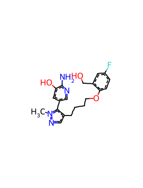 Cn1ncc(CCCCOc2ccc(F)cc2CO)c1-c1cnc(N)c(O)c1